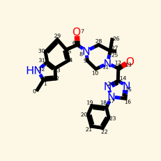 Cc1cc2cc(C(=O)N3CCN(C(=O)c4ncn(-c5ccccc5)n4)C(C)(C)C3)ccc2[nH]1